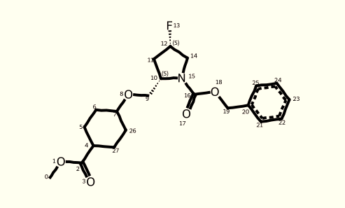 COC(=O)C1CCC(OC[C@@H]2C[C@H](F)CN2C(=O)OCc2ccccc2)CC1